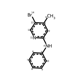 Cc1cc(Nc2ccccc2)ncc1Br